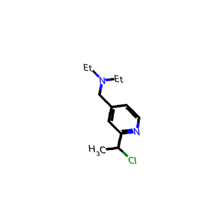 CCN(CC)Cc1ccnc(C(C)Cl)c1